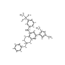 Cc1cc(C)n(-c2nc3c(c(Nc4cccc(C(C)(F)F)c4)n2)CCN(Cc2ccccc2)C3)n1